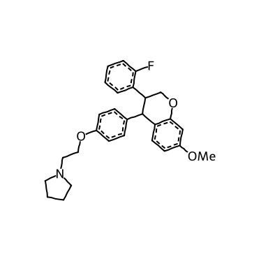 COc1ccc2c(c1)OCC(c1ccccc1F)C2c1ccc(OCCN2CCCC2)cc1